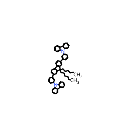 CCCCCCC1(CCCCCC)c2cc(-c3cccc(-n4c5ccccc5c5ccccc54)c3)ccc2-c2ccc(-c3cccc(-n4c5ccccc5c5ccccc54)c3)cc21